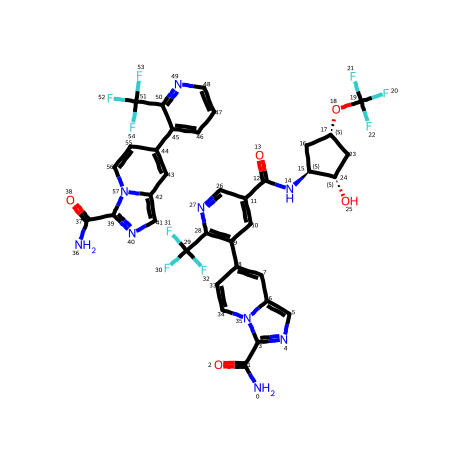 NC(=O)c1ncc2cc(-c3cc(C(=O)N[C@H]4C[C@H](OC(F)(F)F)C[C@@H]4O)cnc3C(F)(F)F)ccn12.NC(=O)c1ncc2cc(-c3cccnc3C(F)(F)F)ccn12